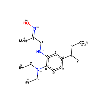 CN/C(CNc1cc(C(C)CC(=O)O)ccc1N(CC(C)C)CC(C)C)=N\O